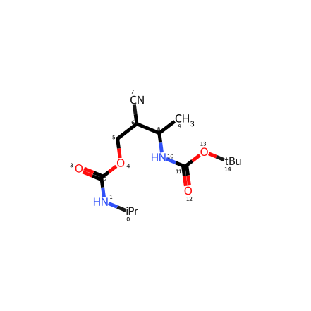 CC(C)NC(=O)OCC(C#N)C(C)NC(=O)OC(C)(C)C